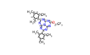 Cc1cc(C)c(C2=NC3=NC(OCC(F)(F)F)=NC4=NC(c5c(C)cc(C)cc5C)=NC(=N2)N34)c(C)c1